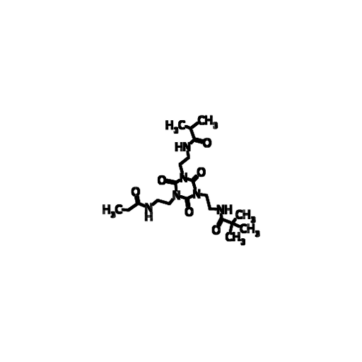 CCC(=O)NCCn1c(=O)n(CCNC(=O)C(C)C)c(=O)n(CCNC(=O)C(C)(C)C)c1=O